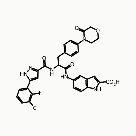 O=C(N[C@@H](Cc1ccc(N2CCOCC2=O)cc1)C(=O)Nc1ccc2[nH]c(C(=O)O)cc2c1)c1cc(-c2cccc(Cl)c2F)[nH]n1